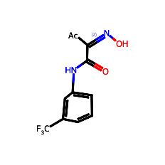 CC(=O)/C(=N/O)C(=O)Nc1cccc(C(F)(F)F)c1